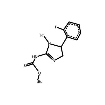 CC(C)N1C(NC(=O)OC(C)(C)C)=NCC1c1ccccc1F